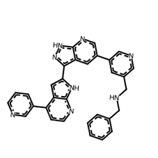 c1ccc(CNCc2cncc(-c3cnc4[nH]nc(-c5cc6c(-c7cccnc7)ccnc6[nH]5)c4c3)c2)cc1